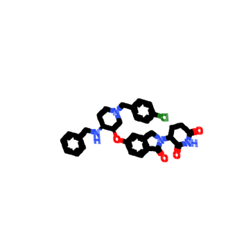 O=C1CCC(N2Cc3cc(O[C@@H]4CN(Cc5ccc(Cl)cc5)CC[C@H]4NCc4ccccc4)ccc3C2=O)C(=O)N1